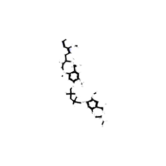 C/C=C\C(=C/CC1[C@H](C)[C@@H](C)N(C)c2cc(OCC(C)(C)CC(C)(C)COc3cc4c(cc3OC)C(=O)N[C@@H](CC)C=N4)c(OC)cc2C(=O)N1C)NC